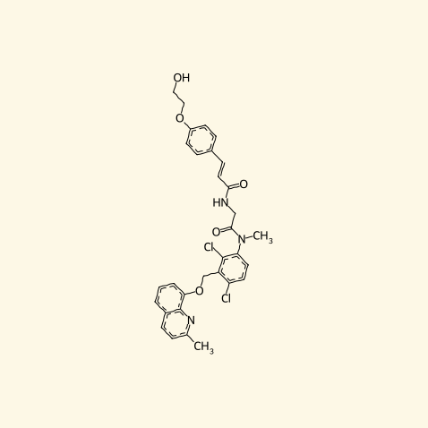 Cc1ccc2cccc(OCc3c(Cl)ccc(N(C)C(=O)CNC(=O)C=Cc4ccc(OCCO)cc4)c3Cl)c2n1